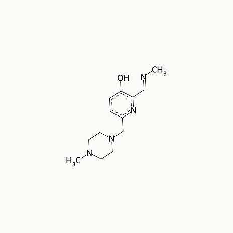 C/N=C/c1nc(CN2CCN(C)CC2)ccc1O